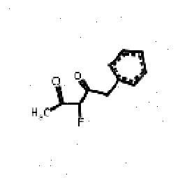 CC(=O)C(F)C(=O)Cc1ccccc1